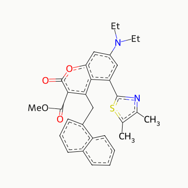 CCN(CC)c1cc(-c2nc(C)c(C)s2)c2c(Cc3cccc4ccccc34)c(C(=O)OC)c(=O)oc2c1